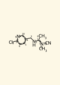 C/C(NCc1ccc(Cl)nc1)=[N+](/C)C#N